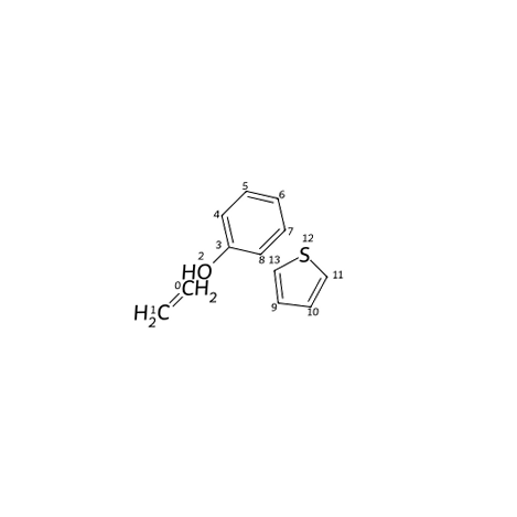 C=C.Oc1ccccc1.c1ccsc1